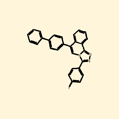 Ic1ccc(-c2nnc3c4ccccc4c(-c4ccc(-c5ccccc5)cc4)cn23)cc1